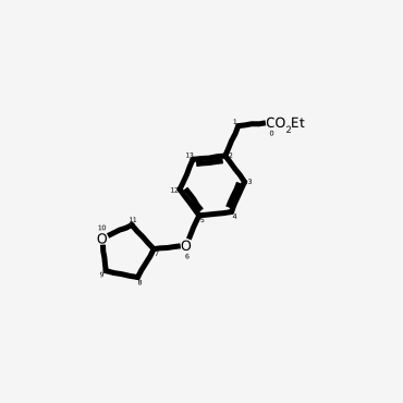 CCOC(=O)Cc1ccc(OC2CCOC2)cc1